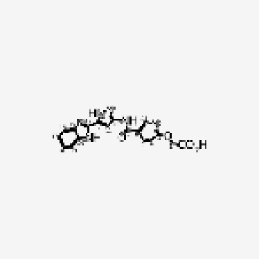 O=C(O)COc1ccc(C(=O)Nc2cc(-c3nc4ccccc4[nH]3)[nH]n2)cn1